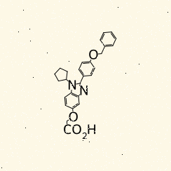 O=C(O)COc1ccc2c(c1)nc(-c1ccc(OCc3ccccc3)cc1)n2C1CCCC1